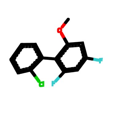 COc1cc(F)cc(F)c1-c1ccccc1Cl